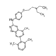 CCN(CC)CCOc1ccc(Nc2nnc3cc(-c4c(C)cccc4C)cc(C)c3n2)cc1